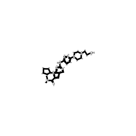 CN(C)C(=O)c1cc2cnc(Nc3ccc(N4CCN(CCO)CC4)nn3)nc2n1C1CCCC1